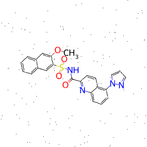 COc1cc2ccccc2cc1S(=O)(=O)NC(=O)c1ccc2c(-n3cccn3)cccc2n1